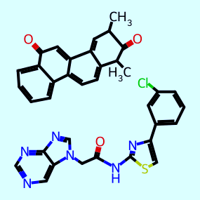 CC1C=c2c(ccc3c2=CC(=O)c2ccccc2-3)C(C)C1=O.O=C(Cn1cnc2ncncc21)Nc1nc(-c2cccc(Cl)c2)cs1